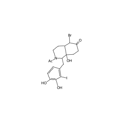 CC(=O)N1CCC2C(Br)C(=O)CCC2(O)C1Cc1ccc(O)c(O)c1I